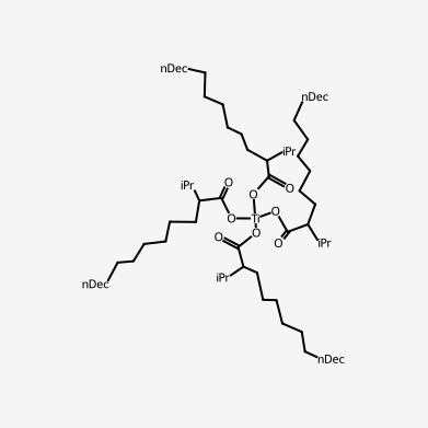 CCCCCCCCCCCCCCCCC(C(=O)[O][Ti]([O]C(=O)C(CCCCCCCCCCCCCCCC)C(C)C)([O]C(=O)C(CCCCCCCCCCCCCCCC)C(C)C)[O]C(=O)C(CCCCCCCCCCCCCCCC)C(C)C)C(C)C